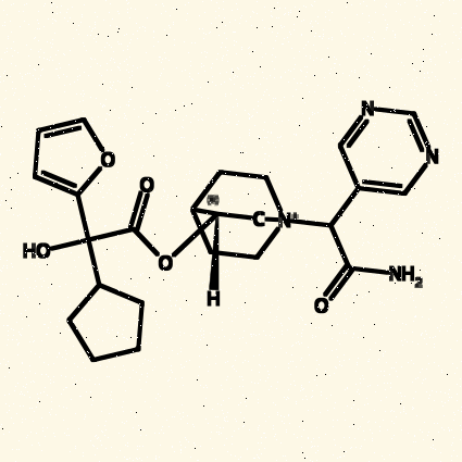 NC(=O)C(c1cncnc1)[N+]12CCC(CC1)[C@@H](OC(=O)C(O)(c1ccco1)C1CCCC1)C2